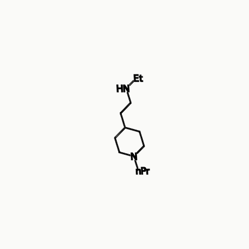 CCCN1CCC(CCNCC)CC1